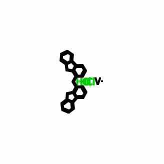 Cl.Cl.[V].c1ccc2c(c1)Cc1c(Cc3cccc4c3Cc3ccccc3-4)cccc1-2